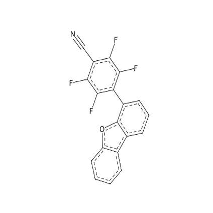 N#Cc1c(F)c(F)c(-c2cccc3c2oc2ccccc23)c(F)c1F